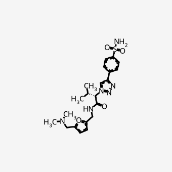 CC(C)[C@@H](C(=O)NCc1ccc(CN(C)C)o1)n1cc(-c2ccc(S(N)(=O)=O)cc2)nn1